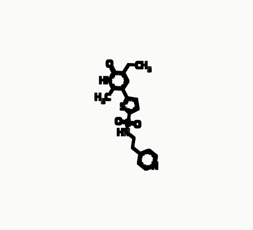 CCc1cc(-c2ccc(S(=O)(=O)NCCc3ccncc3)s2)c(C)[nH]c1=O